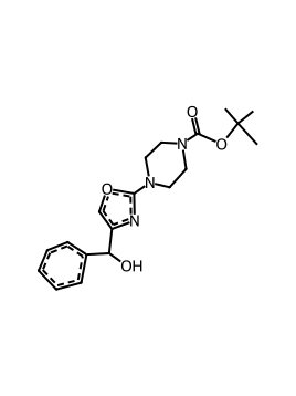 CC(C)(C)OC(=O)N1CCN(c2nc(C(O)c3ccccc3)co2)CC1